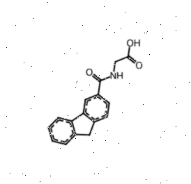 O=C(O)CNC(=O)c1ccc2c(c1)-c1ccccc1C2